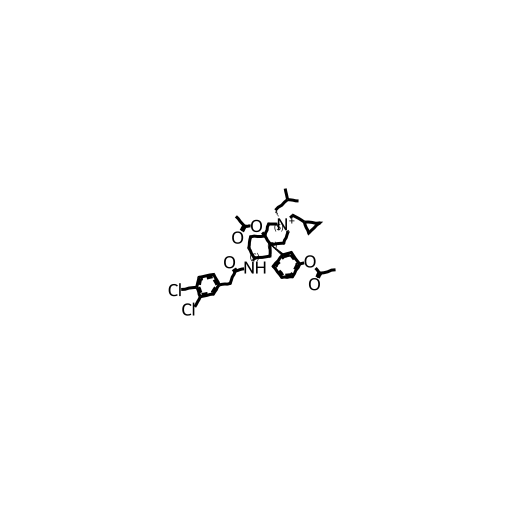 CC(=O)Oc1cccc([C@]23CC[N@+](CC(C)C)(CC4CC4)CC2(OC(C)=O)CC[C@H](NC(=O)Cc2ccc(Cl)c(Cl)c2)C3)c1